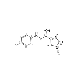 Cc1ccc(NCC(O)c2n[nH]c(=S)o2)cc1